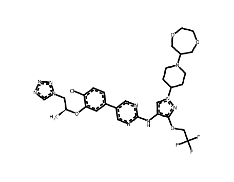 C[C@@H](Cn1cnnn1)Oc1cc(-c2cnc(Nc3cn(C4CCN(C5COCCOC5)CC4)nc3OCC(F)(F)F)nc2)ccc1Cl